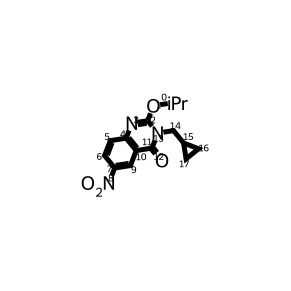 CC(C)Oc1nc2ccc([N+](=O)[O-])cc2c(=O)n1CC1CC1